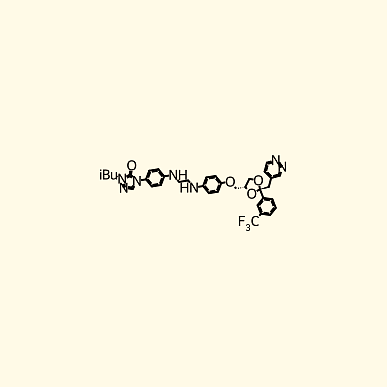 CCC(C)n1ncn(-c2ccc(NCCNc3ccc(OC[C@@H]4CO[C@](Cc5ccnnc5)(c5cccc(C(F)(F)F)c5)O4)cc3)cc2)c1=O